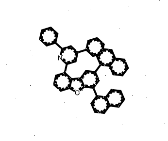 c1ccc(-c2cc(-c3ccccc3)nc(-c3cccc4oc5c(-c6cccc7ccccc67)cc(-c6cccc7ccccc67)cc5c34)c2)cc1